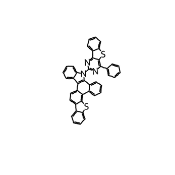 c1ccc(-c2nc(-n3c4ccccc4c4c5ccc6c7ccccc7sc6c5c5ccccc5c43)nc3c2sc2ccccc23)cc1